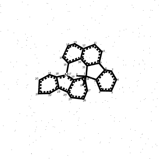 CC1(C)c2ccccc2-c2ccc3cccc(-n4c5ccccc5c5ccccc54)c3c21